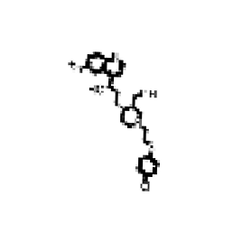 COc1ccc2nccc([C@@H](O)CC[C@@H]3CCN(CCSc4ccc(Cl)cc4)C[C@@H]3CO)c2c1